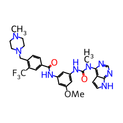 COc1cc(NC(=O)c2ccc(CN3CCN(C)CC3)c(C(F)(F)F)c2)cc(NC(=O)N(C)c2ncnc3[nH]ccc23)c1